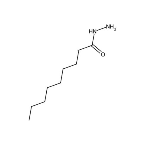 CCCCCCC[CH]C(=O)NN